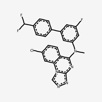 CN(c1cc(F)cc(-c2ccc(C(F)F)cc2)c1)c1nc2nncn2c2cc(Cl)ccc12